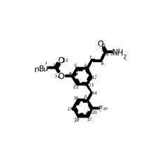 CCCCC(=O)Oc1cc(CCC(N)=O)cc(Cc2ccccc2F)c1